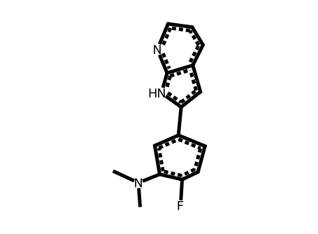 CN(C)c1cc(-c2cc3cccnc3[nH]2)ccc1F